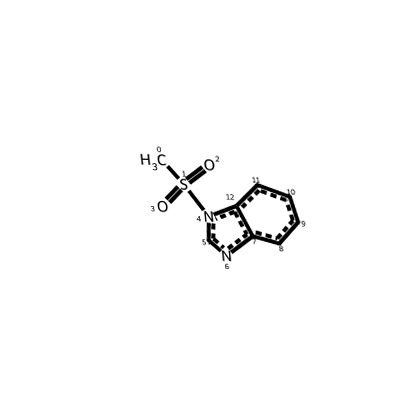 CS(=O)(=O)n1[c]nc2ccccc21